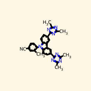 Cc1nc(C)nc(-c2ccc3c(c2)c2cc(-c4nc(C)nc(C)n4)ccc2n3-c2ccc(C#N)cc2C)n1